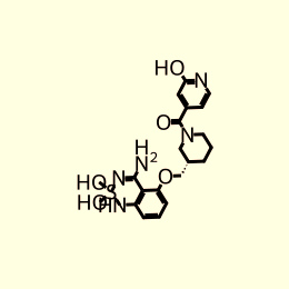 NC1=NS(O)(O)Nc2cccc(OC[C@H]3CCCN(C(=O)c4ccnc(O)c4)C3)c21